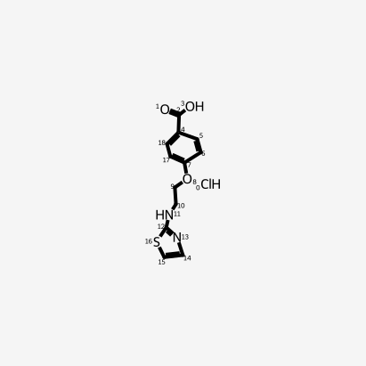 Cl.O=C(O)c1ccc(OCCNc2nccs2)cc1